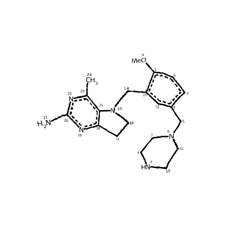 COc1ccc(CN2CCNCC2)cc1CN1CCc2nc(N)nc(C)c21